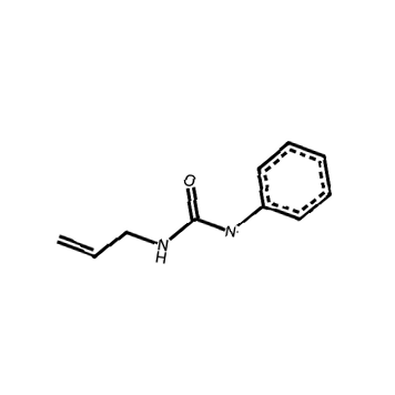 C=CCNC(=O)[N]c1ccccc1